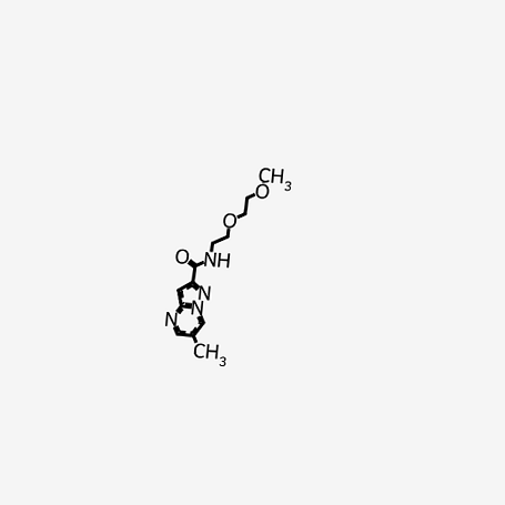 COCCOCCNC(=O)c1cc2ncc(C)cn2n1